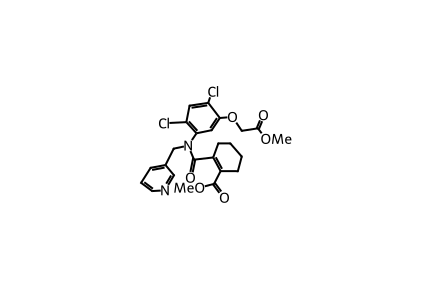 COC(=O)COc1cc(N(Cc2cccnc2)C(=O)C2=C(C(=O)OC)CCCC2)c(Cl)cc1Cl